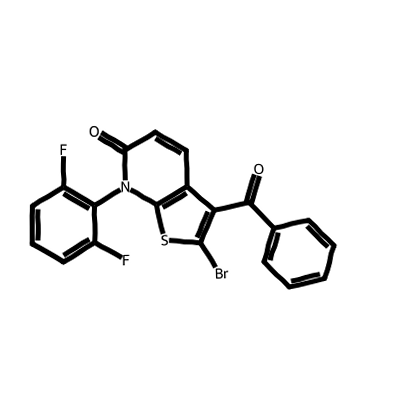 O=C(c1ccccc1)c1c(Br)sc2c1ccc(=O)n2-c1c(F)cccc1F